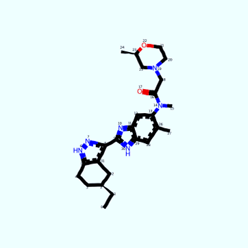 CC[C@H]1CCc2[nH]nc(-c3nc4cc(N(C)C(=O)CN5CCO[C@H](C)C5)c(C)cc4[nH]3)c2C1